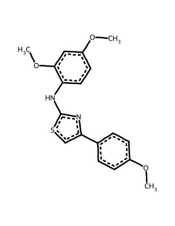 COc1ccc(-c2csc(Nc3ccc(OC)cc3OC)n2)cc1